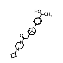 CC(O)c1ccc(N2CC3CCC2CN3CC(=O)N2CCN(C3CCC3)CC2)cc1